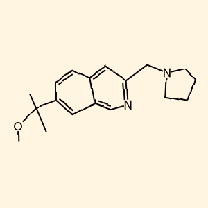 COC(C)(C)c1ccc2cc(CN3CCCC3)ncc2c1